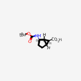 CC(C)(C)OC(=O)N[C@H]1CC[C@H]2[C@H](C(=O)O)[C@H]21